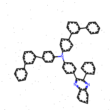 c1ccc(-c2cccc(-c3ccc(N(c4ccc(-c5cccc(-c6ccccc6)c5)cc4)c4ccc(-c5nc6ccccc6nc5-c5ccccc5)cc4)cc3)c2)cc1